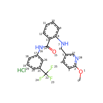 COc1ccc(CNc2ccccc2C(=O)Nc2cccc(C(F)(F)F)c2)cn1.Cl